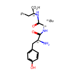 CC[C@H](C)[C@H](NC(=O)[C@@H](N)Cc1ccc(O)cc1)C(=O)N[C@@H](CC(C)C)C(=O)O